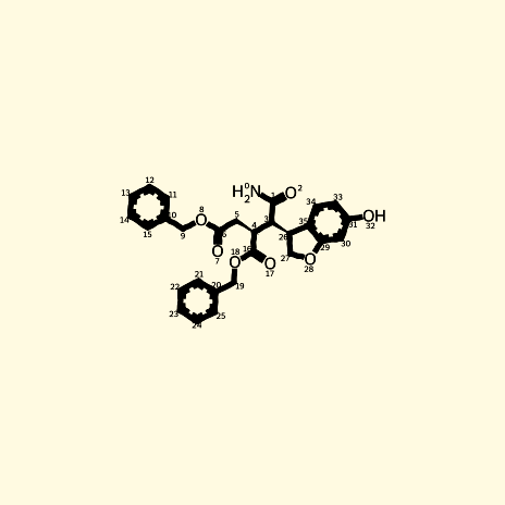 NC(=O)C([C@H](CC(=O)OCc1ccccc1)C(=O)OCc1ccccc1)[C@@H]1COc2cc(O)ccc21